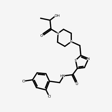 CC(O)C(=O)N1CCN(Cc2ncc(C(=O)NCc3ccc(Cl)cc3Cl)s2)CC1